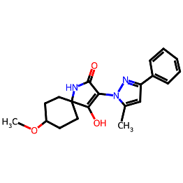 COC1CCC2(CC1)NC(=O)C(n1nc(-c3ccccc3)cc1C)=C2O